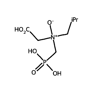 CC(C)C[N+]([O-])(CC(=O)O)CP(=O)(O)O